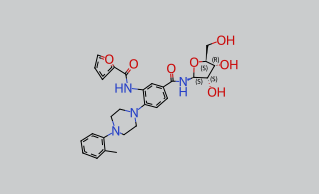 Cc1ccccc1N1CCN(c2ccc(C(=O)N[C@H]3O[C@@H](CO)[C@H](O)[C@@H]3O)cc2NC(=O)c2ccco2)CC1